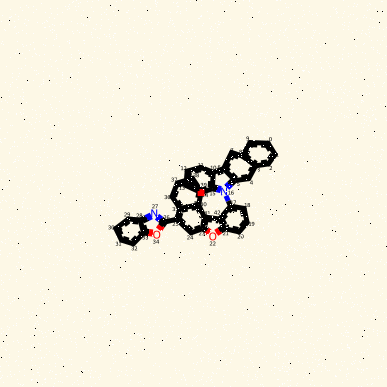 c1ccc2cc3c(cc2c1)c1ccccc1n3-c1cccc2oc3cc(-c4nc5ccccc5o4)c4ccccc4c3c12